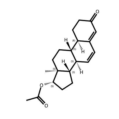 CC(=O)O[C@H]1CC[C@H]2[C@@H]3C=CC4=CC(=O)CC[C@@H]4[C@H]3CC[C@]12C